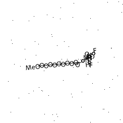 COCCOCCOCCOCCOCCOCCOCCOCCOCCOC(=O)/C=C/c1ccc(-c2nc3c(=O)n(Cc4cccc(F)c4)c(=O)n(Cc4cccc(F)c4)c3[nH]2)cc1